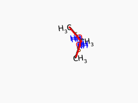 CCCCCCCCCCCCSCCCNC(=O)NCCCN(C)CCCNC(=O)NCCCSCCCCCCCCCCCC